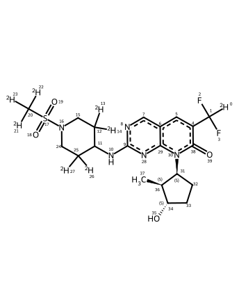 [2H]C(F)(F)c1cc2cnc(NC3C([2H])([2H])CN(S(=O)(=O)C([2H])([2H])[2H])CC3([2H])[2H])nc2n([C@H]2CC[C@H](O)[C@H]2C)c1=O